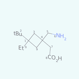 CCC1(C(C)(C)C)CC(CN)(CC(=O)O)C1